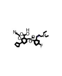 CCN(CC)C/C=C\c1cc(F)ccc1S(=O)(=O)Cc1ccc(C2=CCC=C2)c(OCC#N)c1C(=O)O